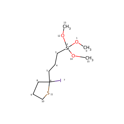 CO[Si](CCCC1(I)CCCS1)(OC)OC